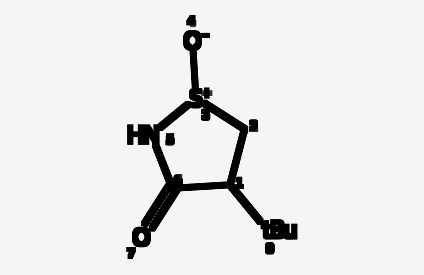 CC(C)(C)C1C[S+]([O-])NC1=O